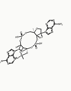 CC(C)(C)[Si](C)(C)OC1[C@@H]2O[C@@H](n3cnc4c(N)ncnc43)[C@@H]1OP(=O)(S)OC[C@@]1(C)OC[C@](F)(n3cnc4c(N)ncnc43)[C@@H]1OP(=O)(S)O2